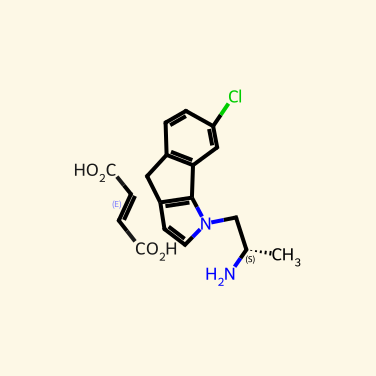 C[C@H](N)Cn1ccc2c1-c1cc(Cl)ccc1C2.O=C(O)/C=C/C(=O)O